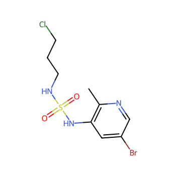 Cc1ncc(Br)cc1NS(=O)(=O)NCCCCl